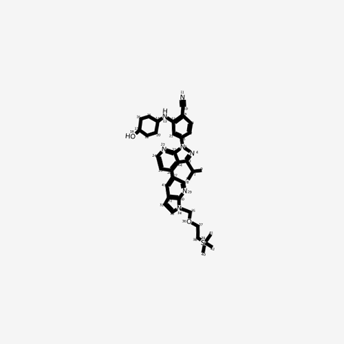 CC(C)c1nn(-c2ccc(C#N)c(NC3CCC(O)CC3)c2)c2nccc(-c3cnc4c(ccn4COCC[Si](C)(C)C)c3)c12